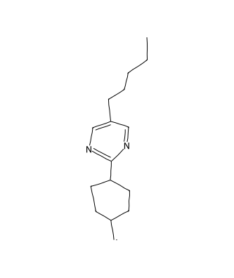 [CH2]C1CCC(c2ncc(CCCCC)cn2)CC1